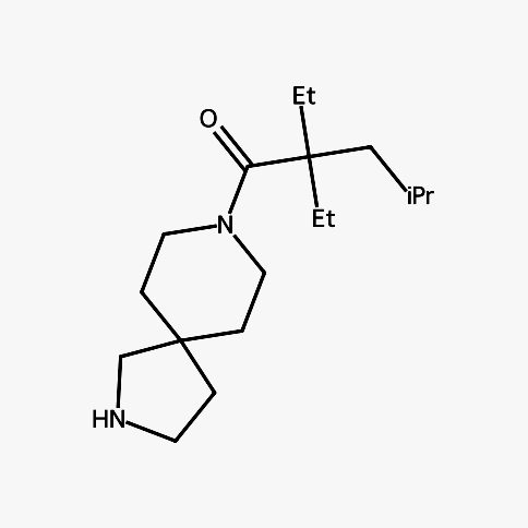 CCC(CC)(CC(C)C)C(=O)N1CCC2(CCNC2)CC1